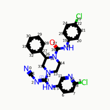 N#C/N=C(/Nc1ccc(Cl)nc1)N1CCN(C(=O)Nc2ccc(Cl)cc2)C(c2ccccc2)C1